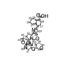 C[C@@H](C(=O)N[C@H](C(=O)N1CCC[C@H]1c1nc(-c2ccc(C(=O)O)c3ccccc23)cs1)C1CCOCC1)N(C)C(=O)OC(C)(C)C